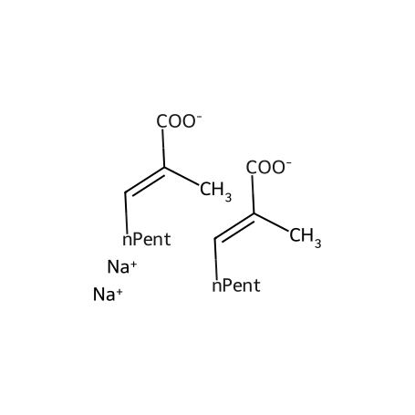 CCCCCC=C(C)C(=O)[O-].CCCCCC=C(C)C(=O)[O-].[Na+].[Na+]